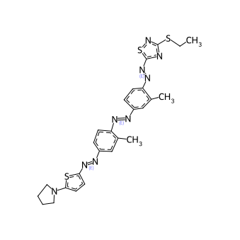 CCSc1nsc(/N=N/c2ccc(/N=N/c3ccc(/N=N/c4ccc(N5CCCC5)s4)cc3C)cc2C)n1